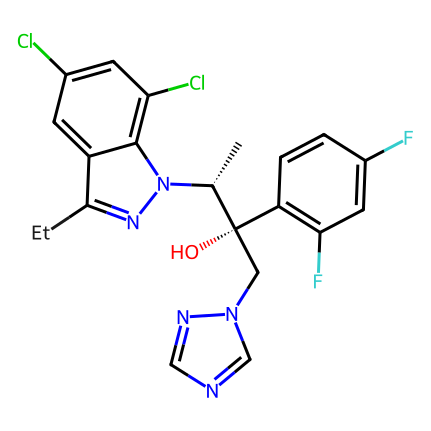 CCc1nn([C@H](C)[C@](O)(Cn2cncn2)c2ccc(F)cc2F)c2c(Cl)cc(Cl)cc12